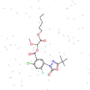 CCCCCOC(=O)C(OC)OC(=O)c1cc(-n2nc(C(C)(C)C)oc2=O)c(F)cc1Cl